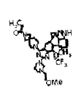 C=CC(=O)N1CC2(CCN(c3nc(N4CCCN(CCOC)C4)nc4c(OCC(F)(F)F)c(-c5c(C)ccc6[nH]ncc56)c(C5CC5)cc34)CC2)C1